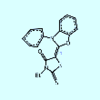 CCN1C(=O)/C(=C2/Oc3ccccc3N2c2ccccc2)SC1=S